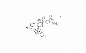 Nc1n[nH]c2cc(-c3nc([C@H](Cc4ccccc4)NC(=O)CCc4cc(Cl)ccc4-n4cc(C(=O)O)cn4)[nH]c3Cl)ccc12